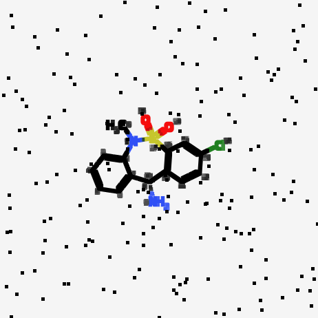 CN1c2ccccc2[C@@H](N)c2ccc(Cl)cc2S1(=O)=O